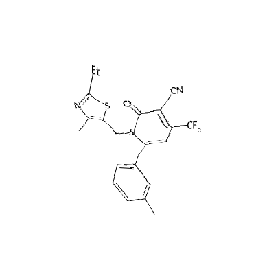 CCc1nc(C)c(Cn2c(-c3cccc(C)c3)cc(C(F)(F)F)c(C#N)c2=O)s1